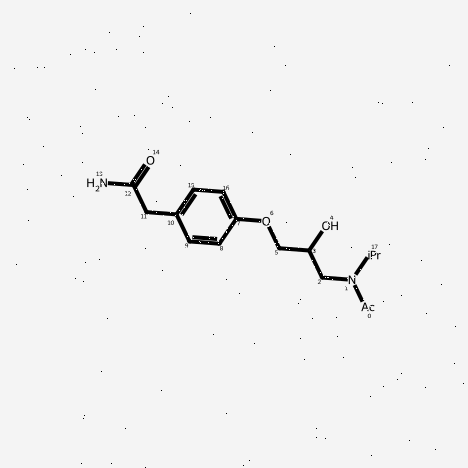 CC(=O)N(CC(O)COc1ccc(CC(N)=O)cc1)C(C)C